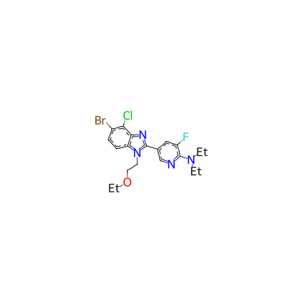 CCOCCn1c(-c2cnc(N(CC)CC)c(F)c2)nc2c(Cl)c(Br)ccc21